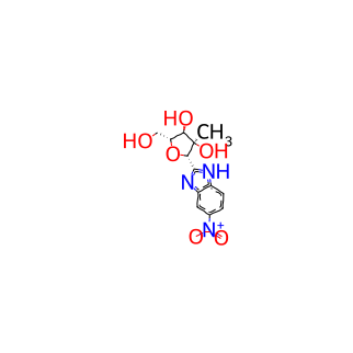 C[C@@]1(O)[C@H](O)[C@@H](CO)O[C@H]1c1nc2cc([N+](=O)[O-])ccc2[nH]1